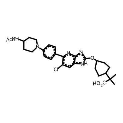 CC(=O)NC1CCN(c2ccc(-c3nc4nc(OC5CCC(C(C)(C)C(=O)O)CC5)[nH]c4cc3Cl)cc2)CC1